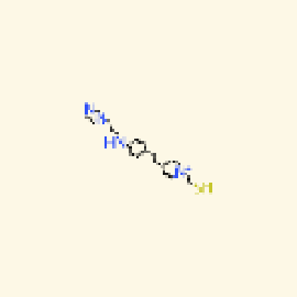 SCC[n+]1ccc(/C=C/c2ccc(NCCCn3ccnc3)cc2)cc1